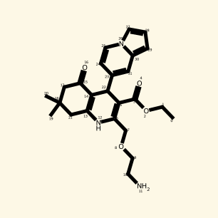 CCOC(=O)C1=C(COCCN)NC2=C(C(=O)CC(C)(C)C2)C1c1ccn2cccc2c1